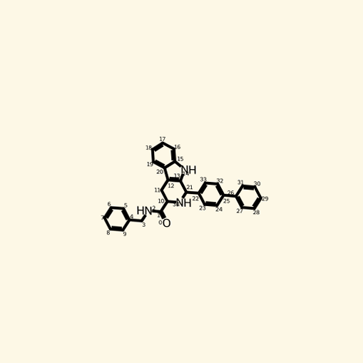 O=C(NCc1ccccc1)C1Cc2c([nH]c3ccccc23)C(c2ccc(-c3ccccc3)cc2)N1